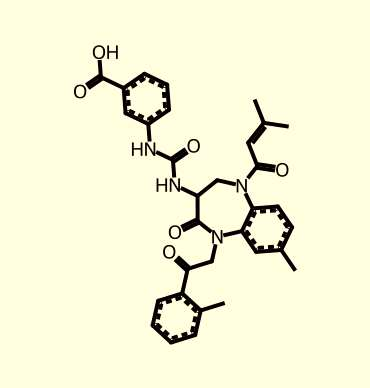 CC(C)=CC(=O)N1CC(NC(=O)Nc2cccc(C(=O)O)c2)C(=O)N(CC(=O)c2ccccc2C)c2cc(C)ccc21